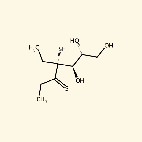 CCC(=S)[C@@](S)(CC)[C@H](O)[C@H](O)CO